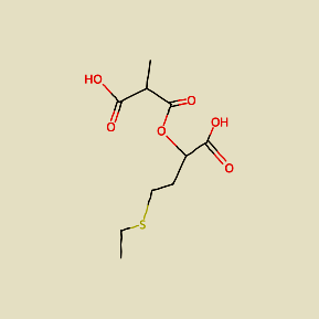 CCSCCC(OC(=O)C(C)C(=O)O)C(=O)O